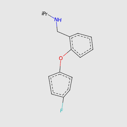 CC(C)NCc1ccccc1Oc1ccc(F)cc1